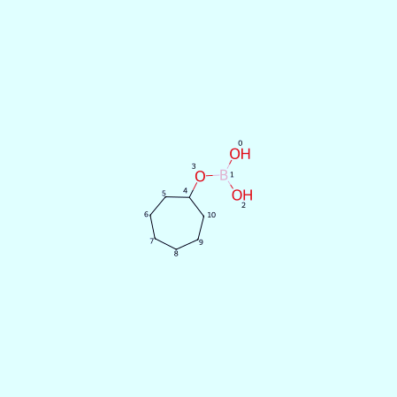 OB(O)OC1CCCCCC1